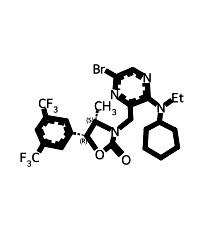 CCN(c1ncc(Br)nc1CN1C(=O)O[C@H](c2cc(C(F)(F)F)cc(C(F)(F)F)c2)[C@@H]1C)C1CCCCC1